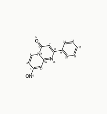 O=Nc1ccn2c(=O)cc(-c3ccccc3)nc2c1